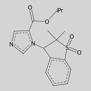 CC(C)OC(=O)c1cncn1C1c2ccccc2S(=O)(=O)C1(C)C